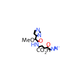 COC(C(=O)NC(CCC(=O)C=[N+]=[N-])C(=O)O)c1ccncn1